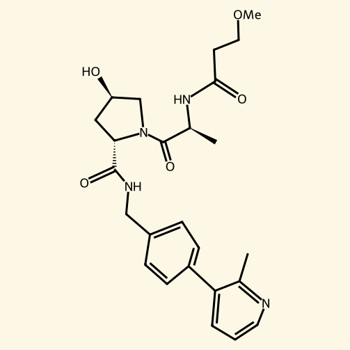 COCCC(=O)N[C@@H](C)C(=O)N1C[C@H](O)C[C@H]1C(=O)NCc1ccc(-c2cccnc2C)cc1